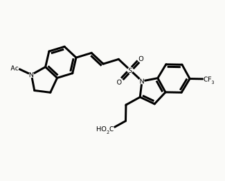 CC(=O)N1CCc2cc(C=CCS(=O)(=O)n3c(CCC(=O)O)cc4cc(C(F)(F)F)ccc43)ccc21